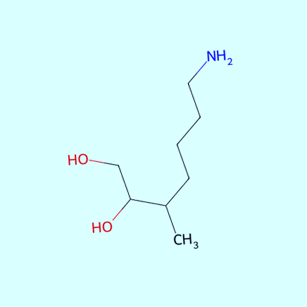 CC(CCCCN)C(O)CO